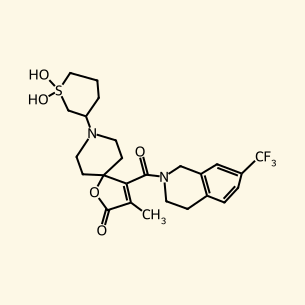 CC1=C(C(=O)N2CCc3ccc(C(F)(F)F)cc3C2)C2(CCN(C3CCCS(O)(O)C3)CC2)OC1=O